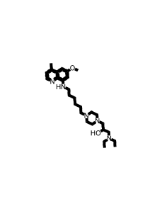 CCN(CC)CC(O)CN1CCN(CCCCCCNc2cc(OC)cc3c(C)ccnc23)CC1